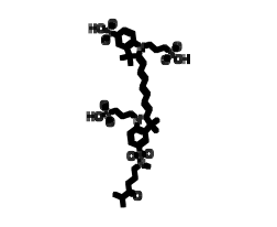 CC(C)C(=O)CCCN(C)S(=O)(=O)c1ccc2c(c1)C(C)(C)C(/C=C/C=C/C=C/C=C1/N(CCCS(=O)(=O)O)c3ccc(S(=O)(=O)O)cc3C1(C)C)=[N+]2CCCS(=O)(=O)O